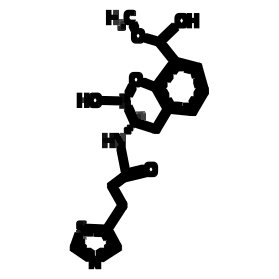 COC(O)c1cccc2c1OB(O)[C@@H](NC(=O)CCc1cncs1)C2